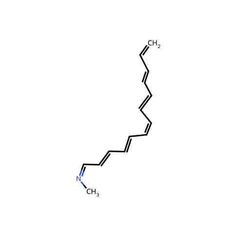 C=C/C=C/C=C/C=C\C=C\C=C\C=N/C